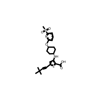 CC(C)(C)C#Cc1cc(N[C@H]2CC[C@H](Oc3cccc(S(C)(=O)=O)n3)CC2)c(C(=O)O)s1